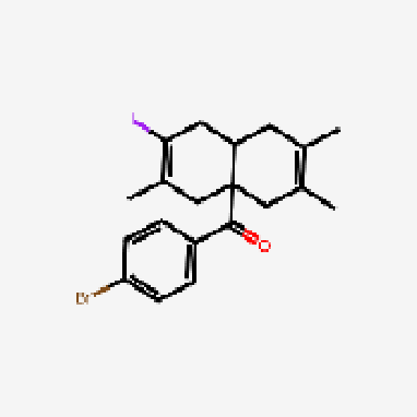 CC1=C(C)CC2(C(=O)c3ccc(Br)cc3)CC(C)=C(I)CC2C1